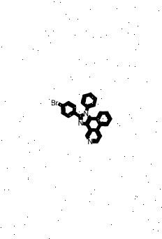 Brc1ccc(-c2nc3c4cnccc4c4ccccc4c3n2-c2ccccc2)cc1